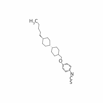 CCCCC[C@H]1CC[C@H](C2CCC(COc3ccc(N=C=S)cc3)CC2)CC1